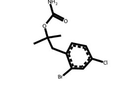 CC(C)(Cc1ccc(Cl)cc1Br)OC(N)=O